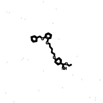 CCOC(=N)c1ccc(OCCCCCOc2ccccc2OCc2ccccc2)cc1